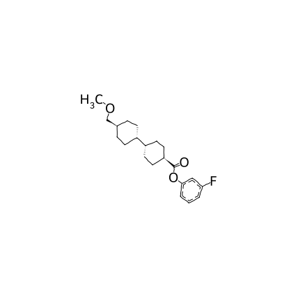 COC[C@H]1CC[C@H]([C@H]2CC[C@H](C(=O)Oc3cccc(F)c3)CC2)CC1